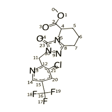 COC(=O)C1CCCc2nn(Cc3ncc(C(F)(F)F)cc3Cl)c(=O)n21